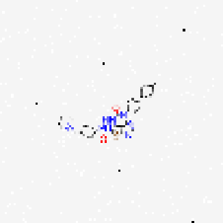 O=C(Nc1ccc(CN2CCCCC2)cc1)c1sc2ncnc3c2c1NC(=O)N3c1ccc(-c2ccc(CI)cc2)cc1